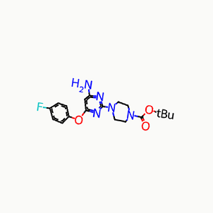 CC(C)(C)OC(=O)N1CCN(c2nc(N)cc(Oc3ccc(F)cc3)n2)CC1